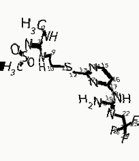 CN/C(=N/S(C)(=O)=O)NCCSCc1nccc(N/C(N)=N\CC(F)(F)F)n1